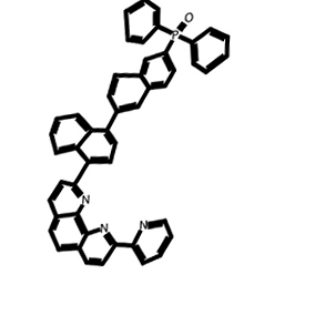 O=P(c1ccccc1)(c1ccccc1)c1ccc2cc(-c3ccc(-c4ccc5ccc6ccc(-c7ccccn7)nc6c5n4)c4ccccc34)ccc2c1